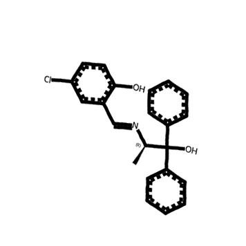 C[C@@H](N=Cc1cc(Cl)ccc1O)C(O)(c1ccccc1)c1ccccc1